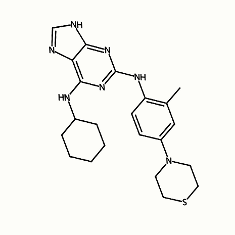 Cc1cc(N2CCSCC2)ccc1Nc1nc(NC2CCCCC2)c2nc[nH]c2n1